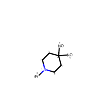 CC(C)N1CCC(N=O)(N=O)CC1